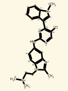 Cc1nc2cc(Nc3ncc(Cl)c(-c4cn(C)c5ccccc45)n3)ccc2n1CCN(C)C